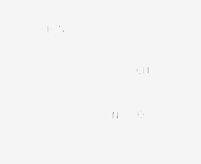 Cc1cc(N)cc2ccc[n+]([O-])c12